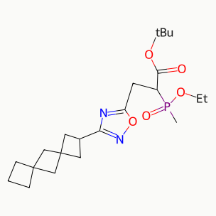 CCOP(C)(=O)C(Cc1nc(C2CC3(C2)CC2(CCC2)C3)no1)C(=O)OC(C)(C)C